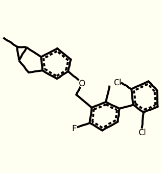 Cc1c(-c2c(Cl)cccc2Cl)ccc(F)c1COc1ccc2c(c1)CC1C(C)C21